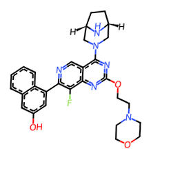 Oc1cc(-c2ncc3c(N4C[C@H]5CC[C@@H](C4)N5)nc(OCCN4CCOCC4)nc3c2F)c2ccccc2c1